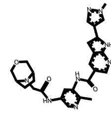 Cc1ncc(NC(=O)CN2C3CCC2COC3)cc1NC(=O)c1cnc2[nH]c(-c3cnn(C)c3)cc2c1